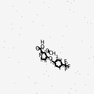 COc1c(OCc2ccc(C(F)(F)F)cc2)ccnc1C(=O)O